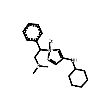 CC[N+]1(C(CN(C)C)c2ccccc2)C=C(NC2CCCCC2)C=N1